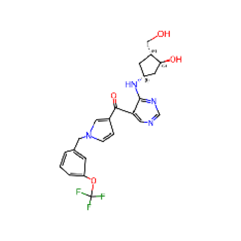 O=C(c1ccn(Cc2cccc(OC(F)(F)F)c2)c1)c1cncnc1N[C@@H]1C[C@H](CO)[C@@H](O)C1